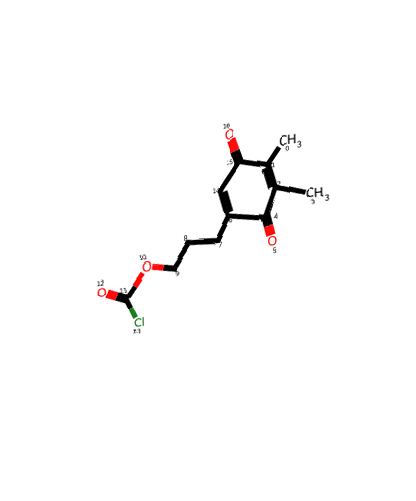 CC1=C(C)C(=O)C(CCCOC(=O)Cl)=CC1=O